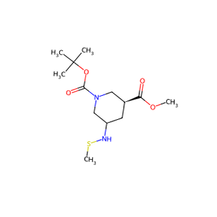 COC(=O)[C@H]1CC(NSC)CN(C(=O)OC(C)(C)C)C1